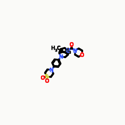 CC1(C)CC2CN(c3ccc(N4CCS(=O)(=O)CC4)cc3)C1CCN2C(=O)N1CCOCC1